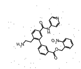 NCCc1ccc(C(=O)Nc2ccncc2)cc1-c1cccc(C(=O)OCc2ccccc2[N+](=O)[O-])c1